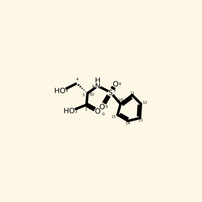 O=C(O)[C@H](CO)NS(=O)(=O)c1ccccc1